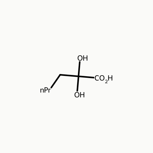 CCCCC(O)(O)C(=O)O